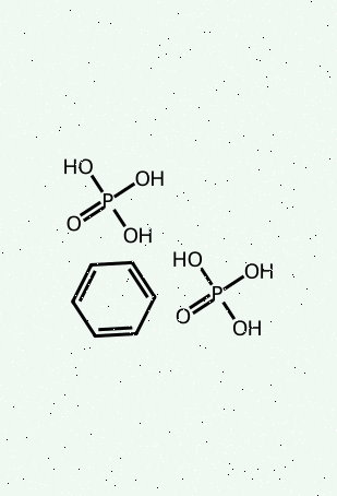 O=P(O)(O)O.O=P(O)(O)O.c1ccccc1